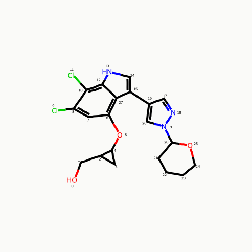 OCC1CC1Oc1cc(Cl)c(Cl)c2[nH]cc(-c3cnn(C4CCCCO4)c3)c12